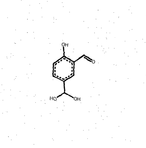 O=Cc1cc(C(O)O)ccc1O